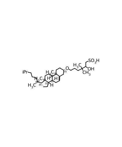 CC(C)CCC[C@@H](C)[C@H]1CC[C@H]2[C@@H]3CC=C4C[C@@H](OCCCC(C)(C)C(O)CS(=O)(=O)O)CC[C@]4(C)[C@H]3CC[C@]12C